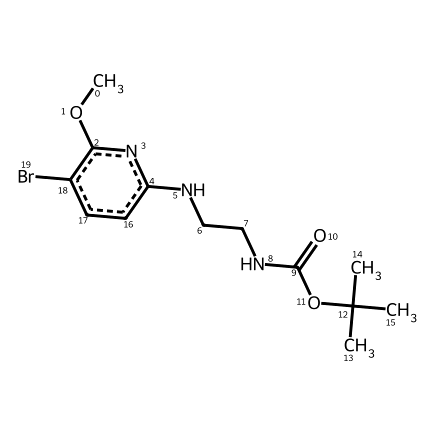 COc1nc(NCCNC(=O)OC(C)(C)C)ccc1Br